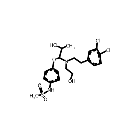 CC(O)C(Oc1ccc(NS(C)(=O)=O)cc1)N(CCO)CCc1ccc(Cl)c(Cl)c1